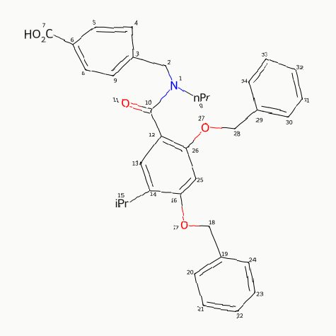 CCCN(Cc1ccc(C(=O)O)cc1)C(=O)c1cc(C(C)C)c(OCc2ccccc2)cc1OCc1ccccc1